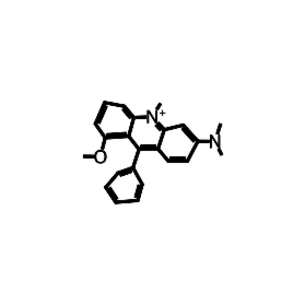 COc1cccc2c1c(-c1ccccc1)c1ccc(N(C)C)cc1[n+]2C